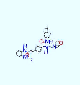 CC(C)(C)c1ccc(NC(=O)C(NCCN2CC3CC2CO3)c2ccc(C=CC(=O)Nc3ccccc3N)cc2)cc1